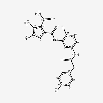 CC(C)n1nc(C(=O)Nc2cc(NC(=O)Cc3ccc(Cl)nc3)cnc2F)c(C(N)=O)c1N